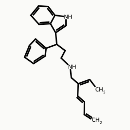 C=CC=CC(=CC)CNCCC(c1ccccc1)c1c[nH]c2ccccc12